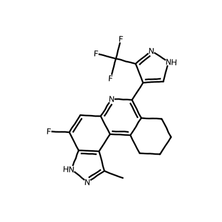 Cc1n[nH]c2c(F)cc3nc(-c4c[nH]nc4C(F)(F)F)c4c(c3c12)CCCC4